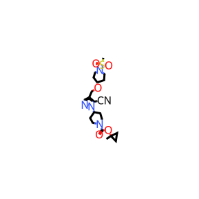 CC1(OC(=O)N2CCC(n3ncc(COC4CCN(S(C)(=O)=O)CC4)c3C#N)CC2)CC1